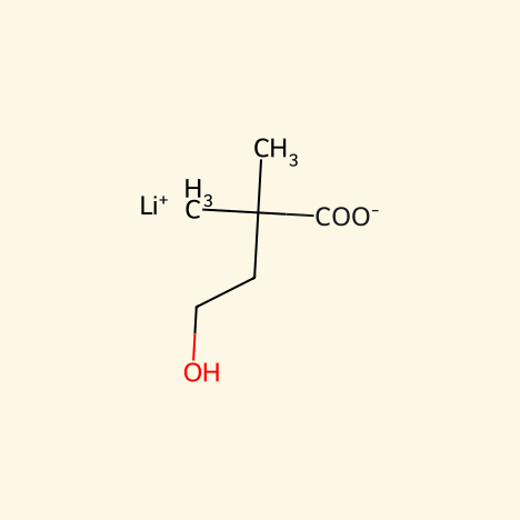 CC(C)(CCO)C(=O)[O-].[Li+]